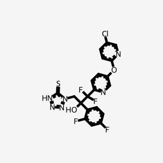 OC(Cn1nn[nH]c1=S)(c1ccc(F)cc1F)C(F)(F)c1ccc(Oc2ccc(Cl)cn2)cn1